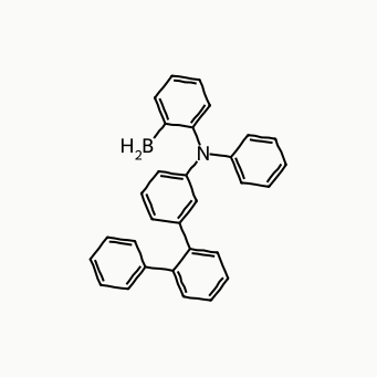 Bc1ccccc1N(c1ccccc1)c1cccc(-c2ccccc2-c2ccccc2)c1